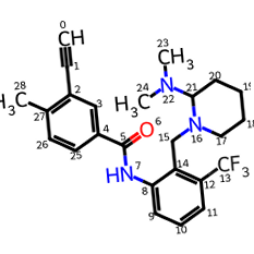 C#Cc1cc(C(=O)Nc2cccc(C(F)(F)F)c2CN2CCCCC2N(C)C)ccc1C